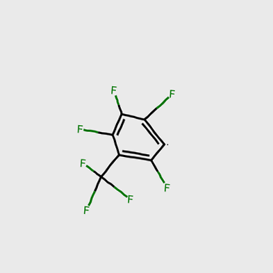 Fc1[c]c(F)c(C(F)(F)F)c(F)c1F